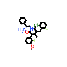 COc1cccc(-c2c(C)c(Cc3c(F)cccc3Cl)c(C)n(CC(N)c3ccccc3)c2=O)c1F